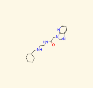 O=C(Cn1cnc2cccnc21)NCCNCC1CCCCC1